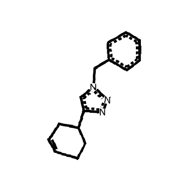 C1=CCC(c2cn(Cc3ccccc3)nn2)CC1